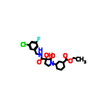 CCOC(=O)C1CCCC(N2CCC(O)(C(=O)NCc3cc(F)cc(Cl)c3)C2=O)C1